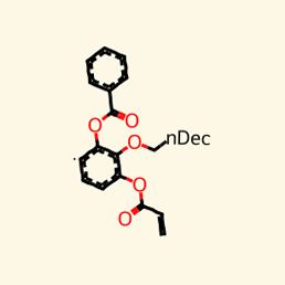 C=CC(=O)Oc1cc[c]c(OC(=O)c2ccccc2)c1OCCCCCCCCCCC